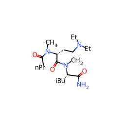 CCCC(=O)N(C)[C@H](CCN(CC)CC)C(=O)N(C)[C@H](C(N)=O)C(C)CC